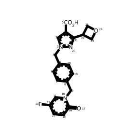 O=C(O)c1cn(Cc2ccc(Cn3cc(F)ccc3=O)cc2)nc1C1COC1